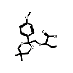 CCC(SCC1(c2ccc(OC)cc2)OCC(C)(C)CO1)C(=O)O